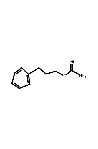 N=C(N)SCCCc1ccccc1